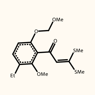 CCc1ccc(OCOC)c(C(=O)C=C(SC)SC)c1OC